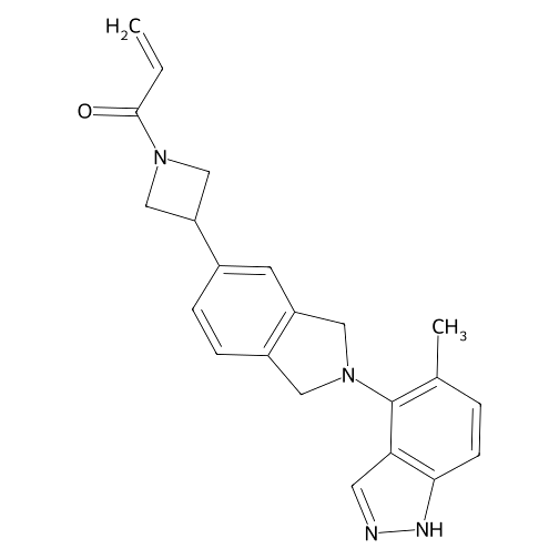 C=CC(=O)N1CC(c2ccc3c(c2)CN(c2c(C)ccc4[nH]ncc24)C3)C1